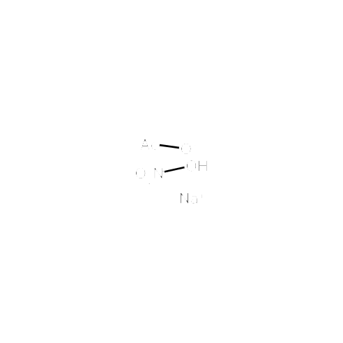 CC(=O)[O-].O=[N+]([O-])O.[Na+]